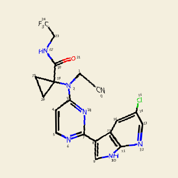 N#CCN(c1ccnc(-c2c[nH]c3ncc(Cl)cc23)n1)C1(C(=O)NCC(F)(F)F)CC1